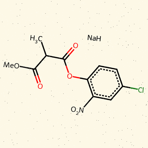 COC(=O)C(C)C(=O)Oc1ccc(Cl)cc1[N+](=O)[O-].[NaH]